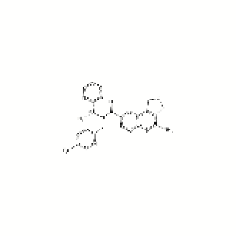 C[C@H](c1ncccn1)N(Cc1ccc(C(F)(F)F)cn1)C(=O)c1cnc2nc(N)c3c(c2c1)COC3